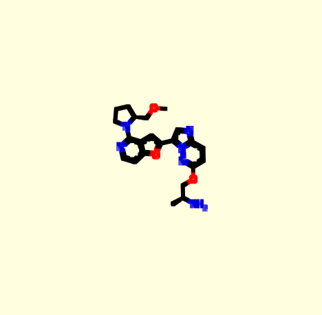 COC[C@@H]1CCCN1c1nccc2oc(-c3cnc4ccc(OC[C@H](C)N)nn34)cc12